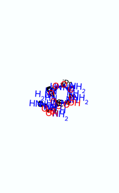 CC(C)C[C@@H]1NC(=O)[C@@H](Cc2ccccc2)NC(=O)[C@H](CCN)NC(=O)[C@@H](NC(=O)[C@H](CCN)NC(=O)[C@@H](NC(=O)CN2CCNCC2)C(C)O)CCNC(=O)C(C(C)O)NC(=O)[C@H](CCN)NC(=O)[C@H](CCN)NC1=O